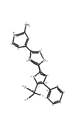 Nc1cc(-c2noc(-c3cc(-c4ccccc4)c(C(F)(F)F)s3)n2)ccn1